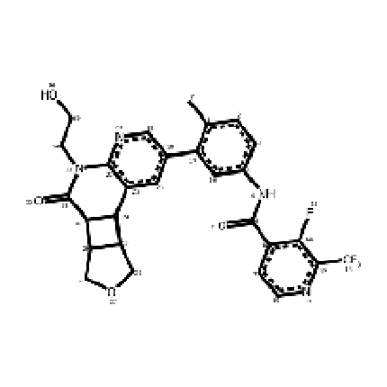 Cc1ccc(NC(=O)c2ccnc(C(F)(F)F)c2F)cc1-c1cnc2c(c1)C1C3COCC3C1C(=O)N2CCO